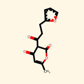 CC1=CC(=O)C(C(=O)CCc2ccco2)C(=O)O1